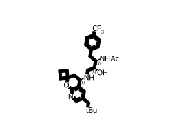 CC(=O)N[C@@H](Cc1ccc(C(F)(F)F)cc1)[C@@H](O)CN[C@H]1CC2(CCC2)Oc2ncc(CC(C)(C)C)cc21